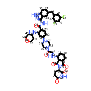 O=C1CCC(N2C(=O)c3cccc(NCC(=O)N4CCN(c5ccc(C(=O)Nc6n[nH]c7ccc(Cc8cc(F)cc(F)c8)cc67)c(NC6CCOCC6)c5)CC4)c3C2=O)C(=O)N1